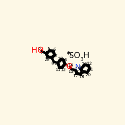 CS(=O)(=O)O.OCc1cccc(Cc2ccc(OCc3ccc4ccccc4n3)cc2)c1